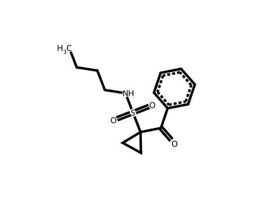 CCCCNS(=O)(=O)C1(C(=O)c2ccccc2)CC1